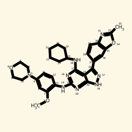 COc1cc(N2CCOCC2)ccc1Nc1nc(NC2CCCCC2)c2c(-c3ccc4nc(C)oc4c3)n[nH]c2n1